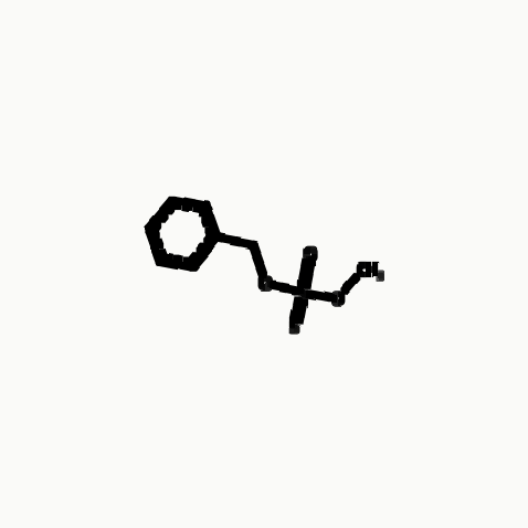 COS(=O)(=S)OCc1ccccc1